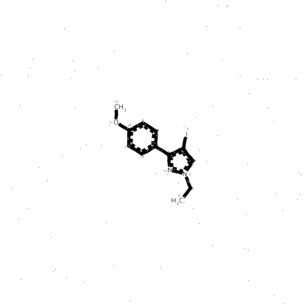 CCn1cc(I)c(-c2ccc(OC)cc2)n1